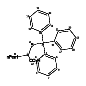 CCCCCC(SC(c1ccccc1)(c1ccccc1)c1ccccc1)C(=O)O